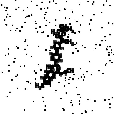 C#CCOc1cc2nn(C)cc2cc1NC(=O)c1cnc(N2CC[C@@H](N(C)C(=O)OC(C)(C)C)C2)cn1